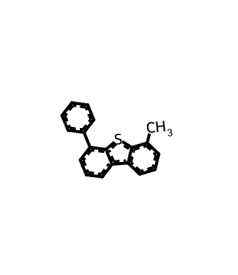 Cc1cccc2c1sc1c(-c3ccccc3)cccc12